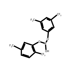 OB(Oc1cc(C(F)(F)F)cc(C(F)(F)F)c1)Oc1cc(C(F)(F)F)ccc1C(F)(F)F